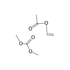 C=COC(C)=O.COC(=O)OC